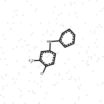 FC(F)(F)c1cc(Nc2ccccc2)ccc1Cl